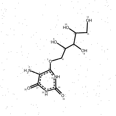 Nc1c(OCC(O)C(O)C(O)CO)[nH]c(=O)[nH]c1=O